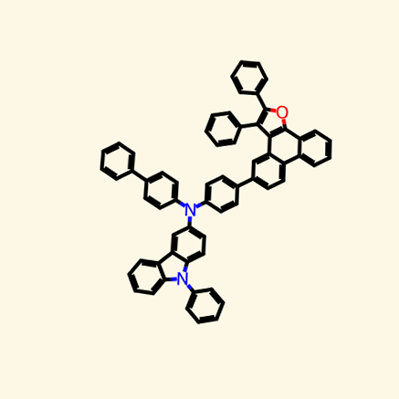 c1ccc(-c2ccc(N(c3ccc(-c4ccc5c6ccccc6c6oc(-c7ccccc7)c(-c7ccccc7)c6c5c4)cc3)c3ccc4c(c3)c3ccccc3n4-c3ccccc3)cc2)cc1